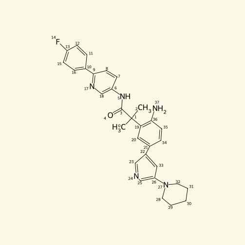 CC(C)(C(=O)Nc1ccc(-c2ccc(F)cc2)nc1)c1cc(-c2cncc(N3CCCCC3)c2)ccc1N